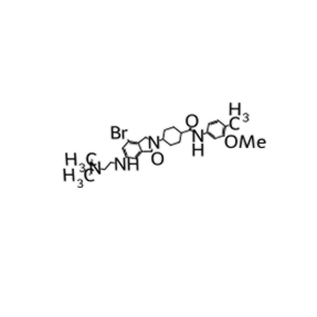 COc1cc(NC(=O)C2CCC(N3Cc4c(Br)cc(NCCN(C)C)cc4C3=O)CC2)ccc1C